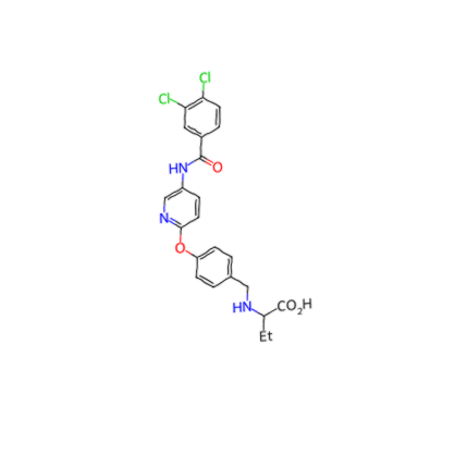 CCC(NCc1ccc(Oc2ccc(NC(=O)c3ccc(Cl)c(Cl)c3)cn2)cc1)C(=O)O